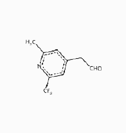 Cc1cc(CC=O)cc(C(F)(F)F)n1